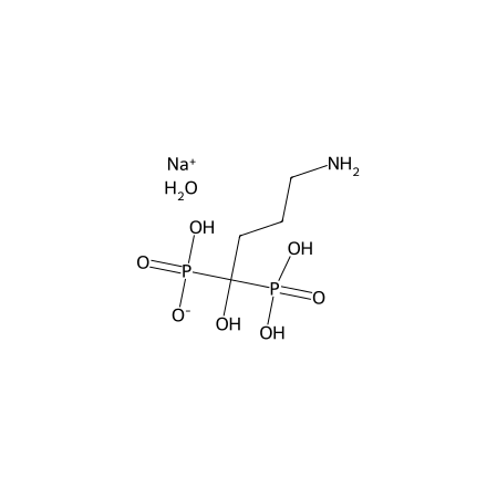 NCCCC(O)(P(=O)([O-])O)P(=O)(O)O.O.[Na+]